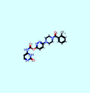 O=C(Nc1ccnc(=O)[nH]1)Oc1ccc(N2CCN(C(=O)c3ccccc3C(F)(F)F)CC2)nn1